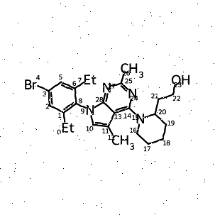 CCc1cc(Br)cc(CC)c1-n1cc(C)c2c(N3CCCCC3CCO)nc(C)nc21